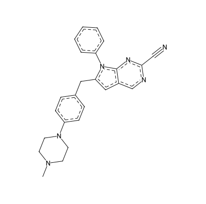 CN1CCN(c2ccc(Cc3cc4cnc(C#N)nc4n3-c3ccccc3)cc2)CC1